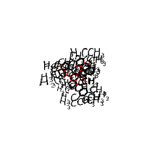 COc1c(C(C)(C)C)cc([C@@H](C)c2cc(C)cc([C@H](C)c3cc(C(C)(C)C)c(OC)c(C(C)(C)C)c3)c2-c2cc3cccc4ccc5c(c2=CC(c2c([C@H](C)c6cc(C(C)(C)C)c(OC)c(C(C)(C)C)c6)cc(C)cc2[C@H](C)c2cc(C(C)(C)C)c(OC)c(C(C)(C)C)c2)C5)c43)cc1C(C)(C)C